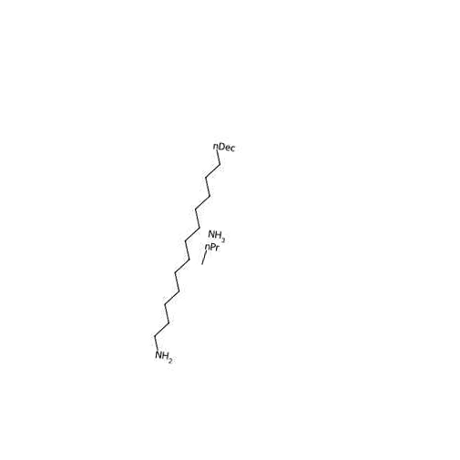 CCCC.CCCCCCCCCCCCCCCCCCCCCCN.N